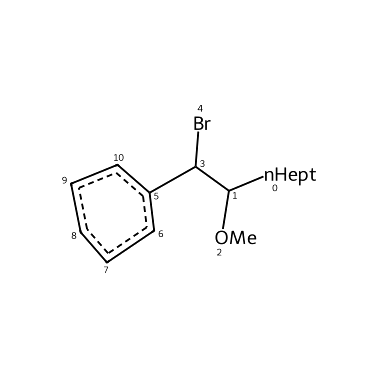 CCCCCCCC(OC)C(Br)c1ccccc1